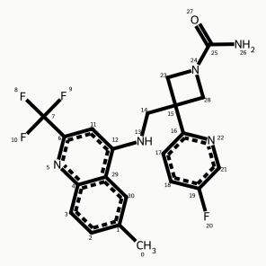 Cc1ccc2nc(C(F)(F)F)cc(NCC3(c4ccc(F)cn4)CN(C(N)=O)C3)c2c1